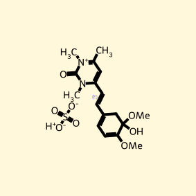 COC1=CC=C(/C=C/c2cc(C)[n+](C)c(=O)n2C)CC1(O)OC.O=S(=O)([O-])[O-].[H+]